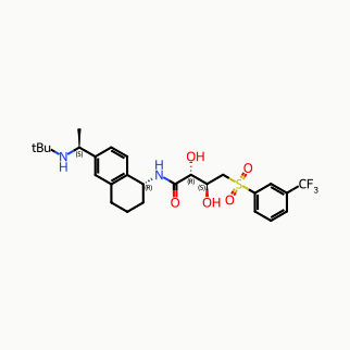 C[C@H](NC(C)(C)C)c1ccc2c(c1)CCC[C@H]2NC(=O)[C@H](O)[C@H](O)CS(=O)(=O)c1cccc(C(F)(F)F)c1